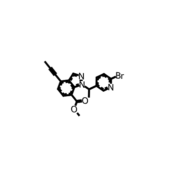 CC#Cc1ccc(C(=O)OC)c2c1cnn2C(C)c1ccc(Br)nc1